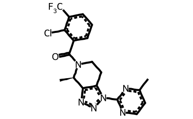 Cc1ccnc(-n2nnc3c2CCN(C(=O)c2cccc(C(F)(F)F)c2Cl)[C@@H]3C)n1